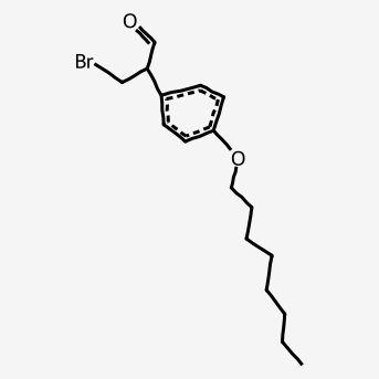 CCCCCCCCOc1ccc(C(C=O)CBr)cc1